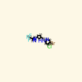 FC(F)(F)c1cnn(C2CCC(CNc3cc(Cl)c(Br)cn3)C2)c1